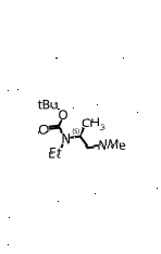 CCN(C(=O)OC(C)(C)C)[C@@H](C)CNC